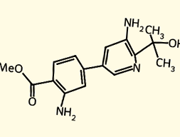 COC(=O)c1ccc(-c2cnc(C(C)(C)O)c(N)c2)cc1N